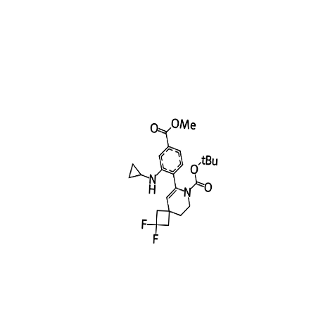 COC(=O)c1ccc(C2=CC3(CCN2C(=O)OC(C)(C)C)CC(F)(F)C3)c(NC2CC2)c1